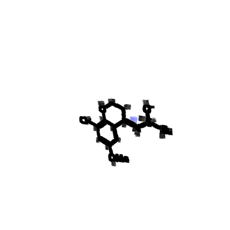 COc1cc(Cl)c2c(c1)/C(=N/[S+]([O-])C(C)(C)C)CCO2